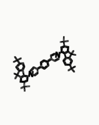 CC(C)(C)c1ccc2c(c1)C(C)(C)c1cc(C(C)(C)C)cc(N3C=CC(=c4ccc(=C5C=CN(c6cc(C(C)(C)C)cc7c6-c6ccc(C(C)(C)C)cc6C7(C)C)C=C5)cc4)C=C3)c1-2